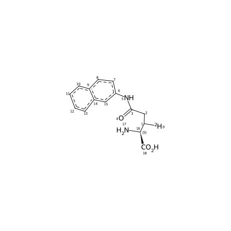 [2H]C(CC(=O)Nc1ccc2ccccc2c1)[C@H](N)C(=O)O